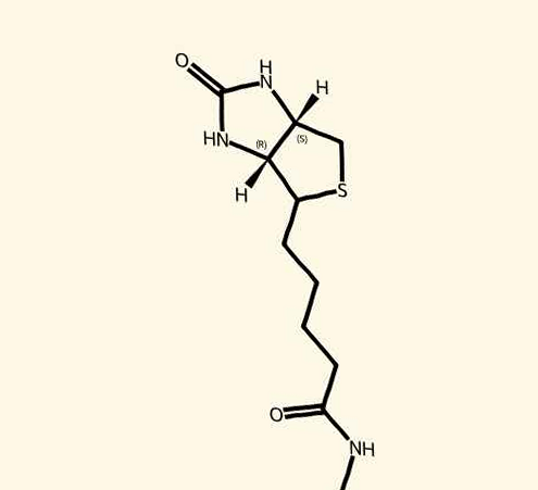 CNC(=O)CCCCC1SC[C@H]2NC(=O)N[C@@H]12